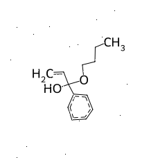 C=CC(O)(OCCCC)c1ccccc1